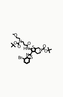 COCCN(CCC(=O)Nc1sc2c(c1-c1nc3c(Br)cccc3s1)CCN(C(=O)OC(C)(C)C)C2)C(=O)OC(C)(C)C